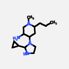 CCCC1CC(N2CCNC2C2CC2)C(N)CN1C